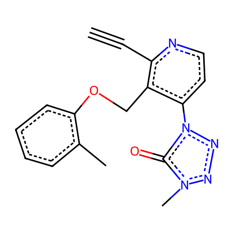 C#Cc1nccc(-n2nnn(C)c2=O)c1COc1ccccc1C